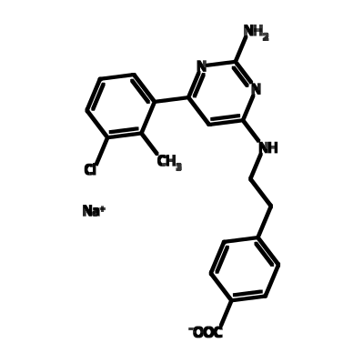 Cc1c(Cl)cccc1-c1cc(NCCc2ccc(C(=O)[O-])cc2)nc(N)n1.[Na+]